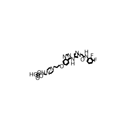 O=C(Cn1cc(Nc2ncnc3cc(OCCCN4CCN(CCOP(=O)(O)O)CC4)ccc23)cn1)Nc1cccc(F)c1F